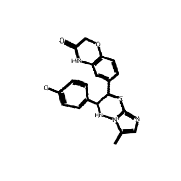 CC1=CN=C2SC(c3ccc4c(c3)NC(=O)CO4)C(c3ccc(Cl)cc3)N[N+]12